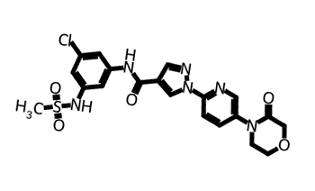 CS(=O)(=O)Nc1cc(Cl)cc(NC(=O)c2cnn(-c3ccc(N4CCOCC4=O)cn3)c2)c1